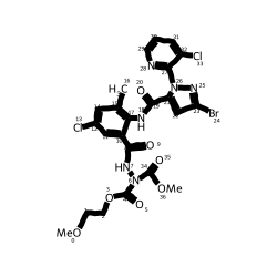 COCCOC(=O)N(NC(=O)c1cc(Cl)cc(C)c1NC(=O)c1cc(Br)nn1-c1ncccc1Cl)C(=O)OC